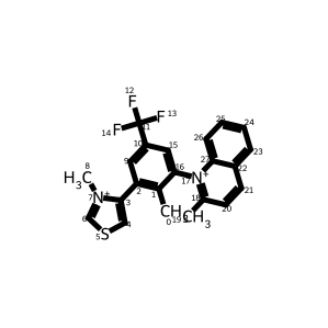 Cc1c(-c2csc[n+]2C)cc(C(F)(F)F)cc1-[n+]1c(C)ccc2ccccc21